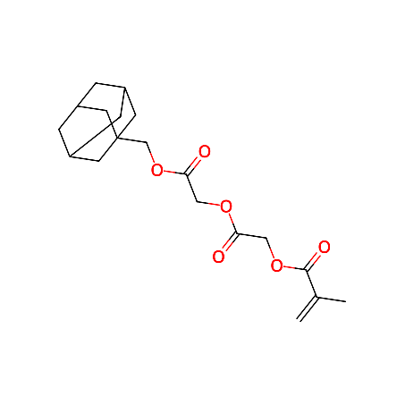 C=C(C)C(=O)OCC(=O)OCC(=O)OCC12CC3CC(CC(C3)C1)C2